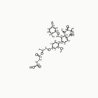 COc1cc(OCC(C)OC(=O)CCC(=O)O)ccc1-c1ccc2c(c1COc1cc(F)ccc1C)N(C)C(=O)C(C)(C)N2